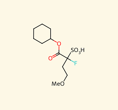 COCCC(F)(C(=O)OC1CCCCC1)S(=O)(=O)O